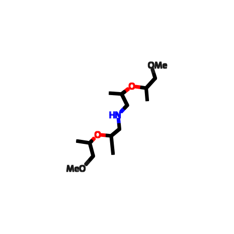 COCC(C)OC(C)CNCC(C)OC(C)COC